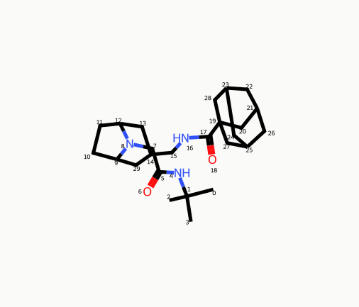 CC(C)(C)NC(=O)CN1C2CCC1CC(CNC(=O)C13CC4CC(CC(C4)C1)C3)C2